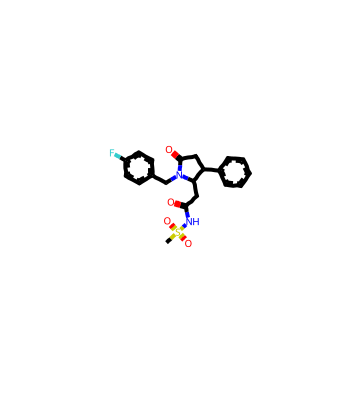 CS(=O)(=O)NC(=O)CC1C(c2ccccc2)CC(=O)N1Cc1ccc(F)cc1